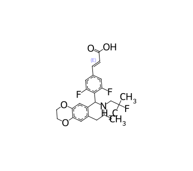 CC1Cc2cc3c(cc2C(c2c(F)cc(/C=C/C(=O)O)cc2F)N1CC(C)(C)F)OCCO3